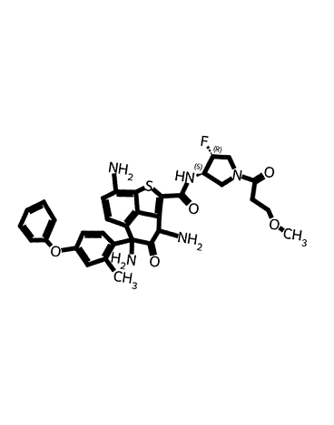 COCCC(=O)N1C[C@@H](F)[C@@H](NC(=O)c2sc3c(N)ccc4c3c2C(N)C(=O)C4(N)c2ccc(Oc3ccccc3)cc2C)C1